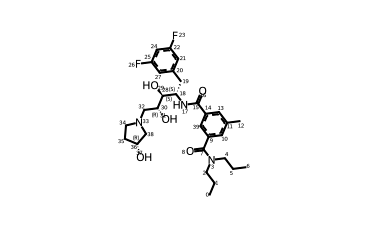 CCCN(CCC)C(=O)c1cc(C)cc(C(=O)N[C@@H](Cc2cc(F)cc(F)c2)[C@H](O)[C@H](O)CN2CC[C@@H](O)C2)c1